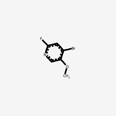 COc1cnc(F)cc1Br